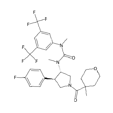 CN(C(=O)N(C)[C@@H]1CN(C(=O)C2(C)CCOCC2)C[C@H]1c1ccc(F)cc1)c1cc(C(F)(F)F)cc(C(F)(F)F)c1